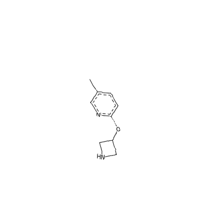 Cc1ccc(OC2CNC2)nc1